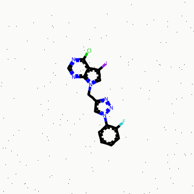 Fc1ccccc1-n1cc(Cn2cc(I)c3c(Cl)ncnc32)nn1